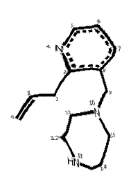 C=CCc1ncccc1CN1CCNCC1